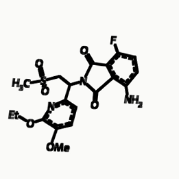 CCOc1nc(C(CS(C)(=O)=O)N2C(=O)c3c(N)ccc(F)c3C2=O)ccc1OC